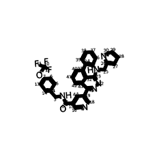 O=C(NCc1ccc(OC(F)(F)F)cc1)c1cncc(-c2nnc(NCc3ccccn3)c3c(-c4ccccc4)cccc23)c1